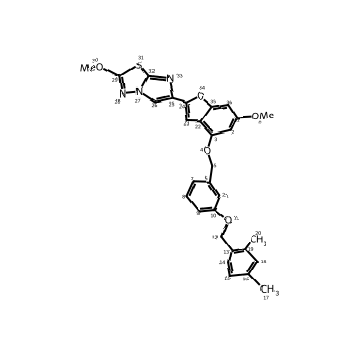 COc1cc(OCc2cccc(OCc3ccc(C)cc3C)c2)c2cc(-c3cn4nc(OC)sc4n3)oc2c1